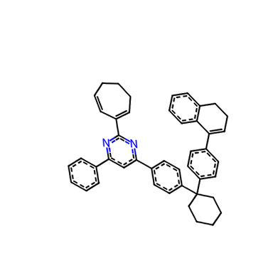 C1=CC(c2nc(-c3ccccc3)cc(-c3ccc(C4(c5ccc(C6=CCCc7ccccc76)cc5)CCCCC4)cc3)n2)=CCCC1